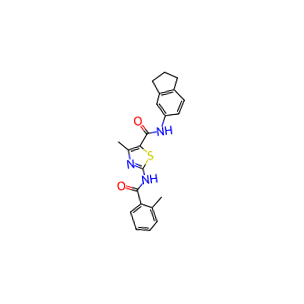 Cc1ccccc1C(=O)Nc1nc(C)c(C(=O)Nc2ccc3c(c2)CCC3)s1